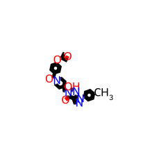 Cc1ccc(-n2ncc3c(=O)n(CC4(O)CCN(C(=O)c5ccc(OC6COC6)cc5)CC4)cnc32)cc1